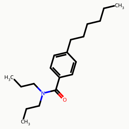 CCCCCCc1ccc(C(=O)N(CCC)CCC)cc1